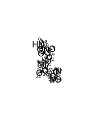 C=C1CCC(N2C(=O)c3cccc(CCN(C)Cc4c(OC)cc(-c5cn(C)c(=O)c6cnccc56)cc4OC)c3C2=O)C(=O)N1